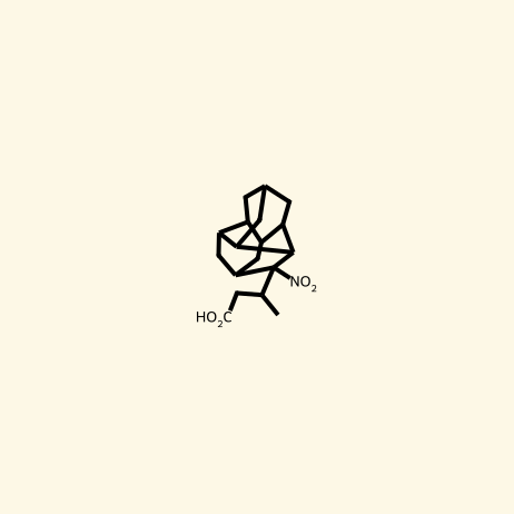 CC(CC(=O)O)C1([N+](=O)[O-])C2CC3C4CC5CC3C1C(C5)C4C2